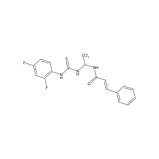 O=C(/C=C/c1ccccc1)NC(NC(=S)Nc1ccc(F)cc1F)C(Cl)(Cl)Cl